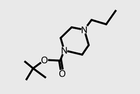 CCCN1CCN(C(=O)OC(C)(C)C)CC1